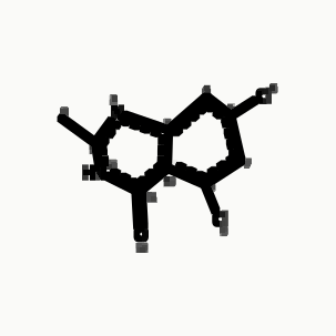 Cc1nc2cc(Cl)cc(Cl)c2c(=O)[nH]1